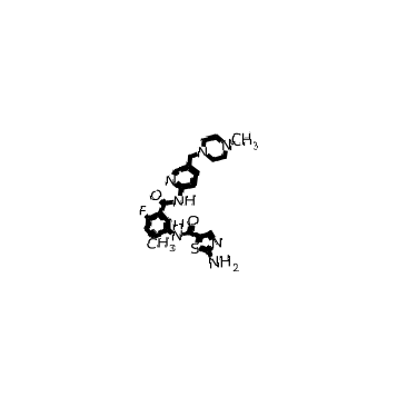 Cc1cc(F)c(C(=O)Nc2ccc(CN3CCN(C)CC3)cn2)cc1NC(=O)c1cnc(N)s1